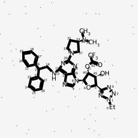 CCn1nnc([C@H]2O[C@@H](n3cnc4c(NCC(c5ccccc5)c5ccccc5)nc(N5CC[C@@H](N(C)C)C5)nc43)[C@H](OC(=O)C(F)(F)F)[C@@H]2O)n1